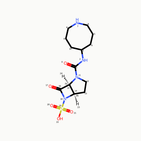 O=C(NC1CCCNCCC1)N1CC[C@@H]2[C@H]1C(=O)N2S(=O)(=O)O